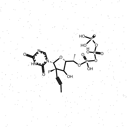 CC#C[C@@]1(F)C(O)[C@@H]([C@H](C)OP(=O)(O)OP(=O)(O)OP(=O)(O)O)O[C@H]1n1cnc(=O)[nH]c1=O